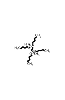 CCCCCO[Si](C)(CC[Si](C)(OCCCCC)OCCCCC)OCCCCC